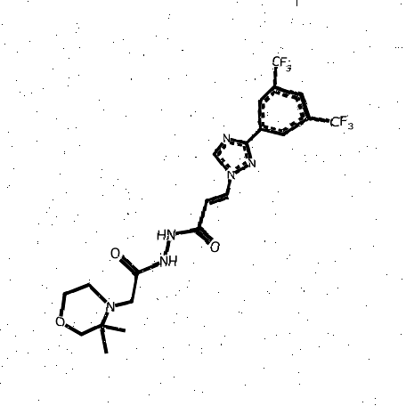 CC1(C)COCCN1CC(=O)NNC(=O)C=Cn1cnc(-c2cc(C(F)(F)F)cc(C(F)(F)F)c2)n1